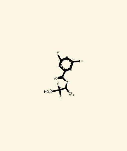 O=C(OC(C(F)(F)F)C(F)(F)S(=O)(=O)O)c1cc(I)cc(I)c1